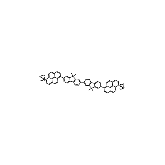 CC1(C)c2cc(-c3ccc4c(c3)C(C)(C)c3cc(-c5ccc6ccc7c([Si](C)(C)C)ccc8ccc5c6c87)ccc3-4)ccc2-c2ccc(-c3ccc4ccc5c([Si](C)(C)C)ccc6ccc3c4c65)cc21